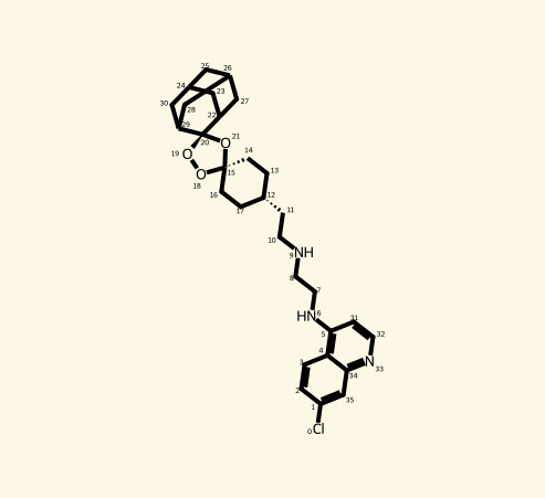 Clc1ccc2c(NCCNCC[C@H]3CC[C@]4(CC3)OO[C@]3(O4)C4CC5CC(C4)CC3C5)ccnc2c1